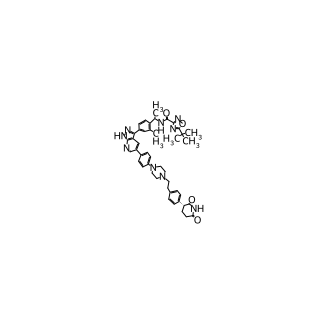 Cc1cc(-c2n[nH]c3ncc(-c4ccc(N5CCN(CCc6ccc([C@H]7CCC(=O)NC7=O)cc6)CC5)cc4)cc23)ccc1C(C)NC(=O)c1noc(C(C)(C)C)n1